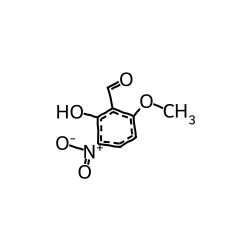 COc1ccc([N+](=O)[O-])c(O)c1C=O